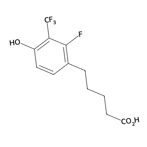 O=C(O)CCCCc1ccc(O)c(C(F)(F)F)c1F